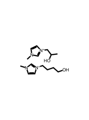 CC(O)C[n+]1ccn(C)c1.Cn1cc[n+](CCCCO)c1